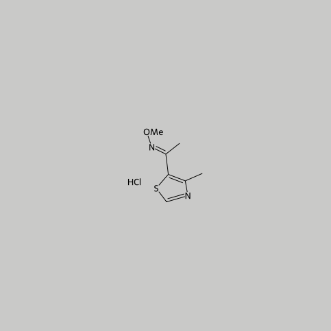 CON=C(C)c1scnc1C.Cl